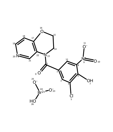 O=C(c1cc(Cl)c(O)c([N+](=O)[O-])c1)N1CCOc2ccncc21.[O-][Br+2]([O-])O